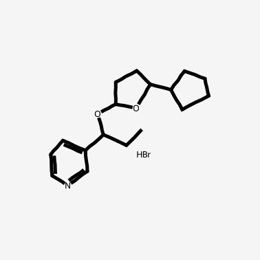 Br.CCC(OC1CCC(C2CCCC2)O1)c1cccnc1